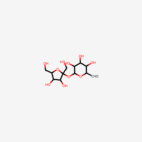 O=CC1OC(OC2(CO)OC(CO)C(O)C2O)C(O)C(O)C1O